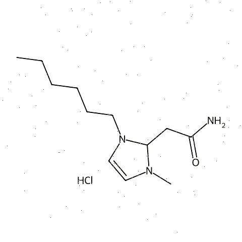 CCCCCCN1C=CN(C)C1CC(N)=O.Cl